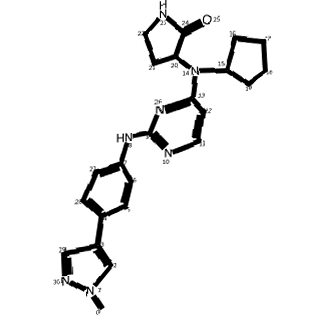 Cn1cc(-c2ccc(Nc3nccc(N(C4CCCC4)C4CCNC4=O)n3)cc2)cn1